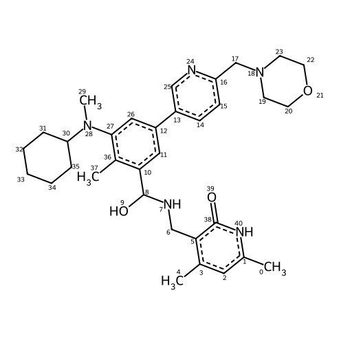 Cc1cc(C)c(CNC(O)c2cc(-c3ccc(CN4CCOCC4)nc3)cc(N(C)C3CCCCC3)c2C)c(=O)[nH]1